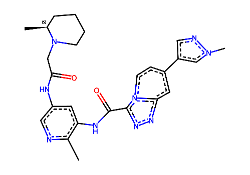 Cc1ncc(NC(=O)CN2CCCC[C@@H]2C)cc1NC(=O)c1nnc2cc(-c3cnn(C)c3)ccn12